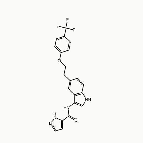 O=C(Nc1c[nH]c2ccc(CCOc3ccc(C(F)(F)F)cc3)cc12)c1ccn[nH]1